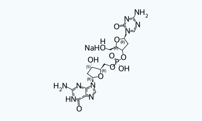 Nc1ncn([C@H]2CC(OP(=O)(O)OC[C@H]3O[C@@H](n4cnc5c(=O)[nH]c(N)nc54)C[C@@H]3O)[C@@H](CO)O2)c(=O)n1.[NaH]